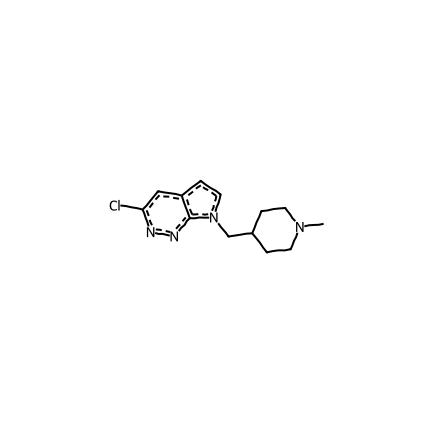 CN1CCC(Cn2ccc3cc(Cl)nnc32)CC1